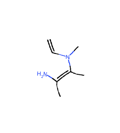 C=CN(C)/C(C)=C(/C)N